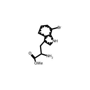 COC(=O)C(N)Cc1c[nH]c2c(Br)cccc12